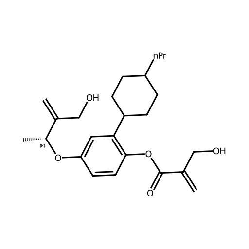 C=C(CO)C(=O)Oc1ccc(O[C@H](C)C(=C)CO)cc1C1CCC(CCC)CC1